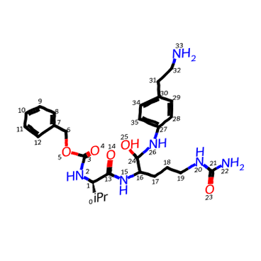 CC(C)[C@@H](NC(=O)OCc1ccccc1)C(=O)NC(CCCNC(N)=O)C(O)Nc1ccc(CCN)cc1